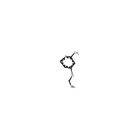 Cc1cc(OCC(C)(C)C)ccn1